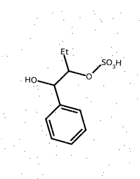 CCC(OS(=O)(=O)O)C(O)c1ccccc1